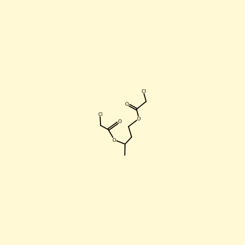 CC(CCOC(=O)CCl)OC(=O)CCl